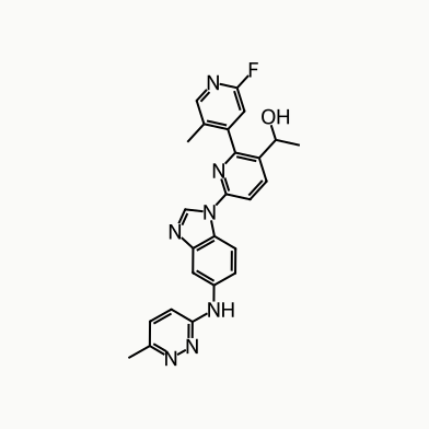 Cc1ccc(Nc2ccc3c(c2)ncn3-c2ccc(C(C)O)c(-c3cc(F)ncc3C)n2)nn1